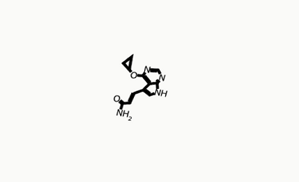 NC(=O)C=Cc1c[nH]c2ncnc(OC3CC3)c12